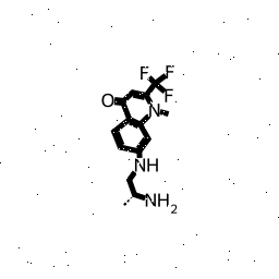 C[C@@H](N)CNc1ccc2c(=O)cc(C(F)(F)F)n(C)c2c1